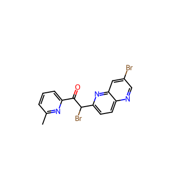 Cc1cccc(C(=O)C(Br)c2ccc3ncc(Br)cc3n2)n1